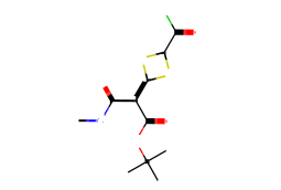 CNC(=O)C(C(=O)OC(C)(C)C)=C1SC(C(=O)Cl)S1